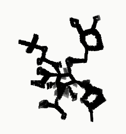 Cn1cnc(S[C@H]2[C@H]3[C@H](C(=O)O)[C@H]3[C@](NC(=O)OC(C)(C)C)(C(=O)O)[C@@H]2OCc2ccc(Cl)c(Cl)c2)n1